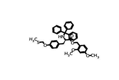 COc1ccc(COC(=O)[C@@H](Cc2ccc(OCSC)cc2)NC(c2ccccc2)(c2ccccc2)c2ccccc2)c(OC)c1